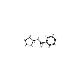 c1ccc(NCC2CCCC2)cc1